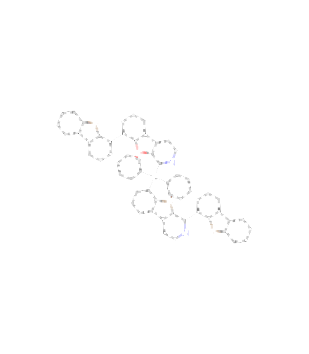 c1ccc([Si](c2ccccc2)(c2nccc3c2oc2c(-c4cccc5c4sc4ccccc45)cccc23)c2cccc3c2sc2c(-c4cccc5c4sc4ccccc45)nccc23)cc1